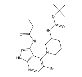 CCC(=O)Nc1c[nH]c2ncc(Br)c(N3CCCC(NC(=O)OC(C)(C)C)C3)c12